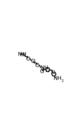 [N-]=[N+]=NCCOCCOCCOCCNC(=O)c1ccc(CN2CCC(N)CC2)cc1